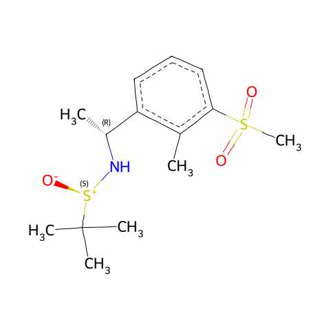 Cc1c([C@@H](C)N[S@+]([O-])C(C)(C)C)cccc1S(C)(=O)=O